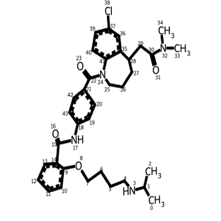 CC(C)NCCCCOc1ccccc1C(=O)Nc1ccc(C(=O)N2CCCC(CC(=O)N(C)C)c3cc(Cl)ccc32)cc1